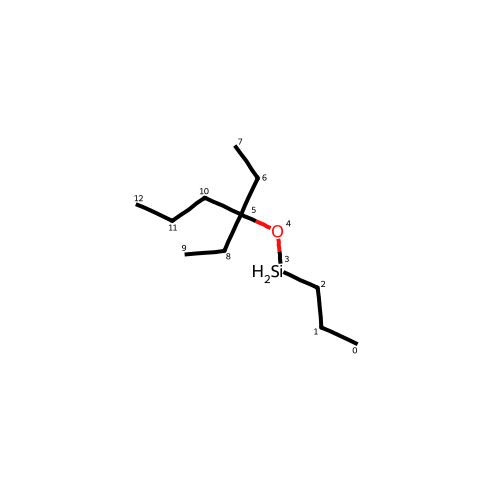 CCC[SiH2]OC(CC)(CC)CCC